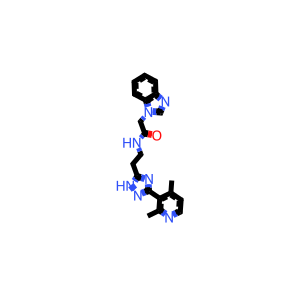 Cc1ccnc(C)c1-c1n[nH]c(CCNC(=O)Cn2cnc3ccccc32)n1